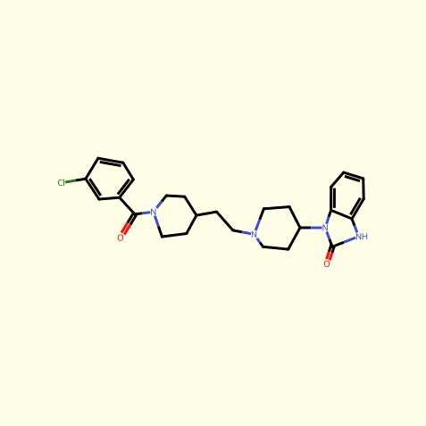 O=C(c1cccc(Cl)c1)N1CCC(CCN2CCC(n3c(=O)[nH]c4ccccc43)CC2)CC1